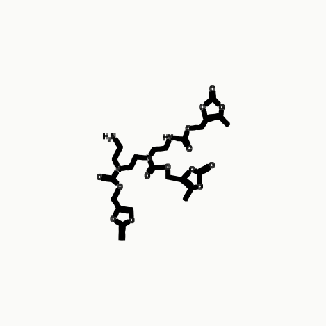 C=C1OC=C(COC(=O)N(CCN)CCN(CCNC(=O)OCc2oc(=O)oc2C)C(=O)OCc2oc(=O)oc2C)O1